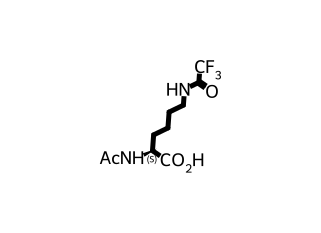 CC(=O)N[C@@H](CCCCNC(=O)C(F)(F)F)C(=O)O